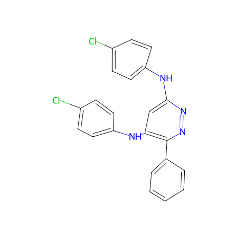 Clc1ccc(Nc2cc(Nc3ccc(Cl)cc3)c(-c3ccccc3)nn2)cc1